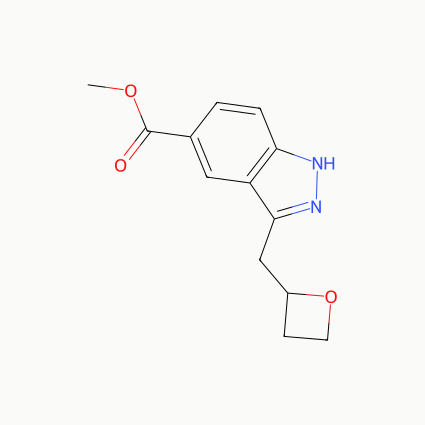 COC(=O)c1ccc2[nH]nc(CC3CCO3)c2c1